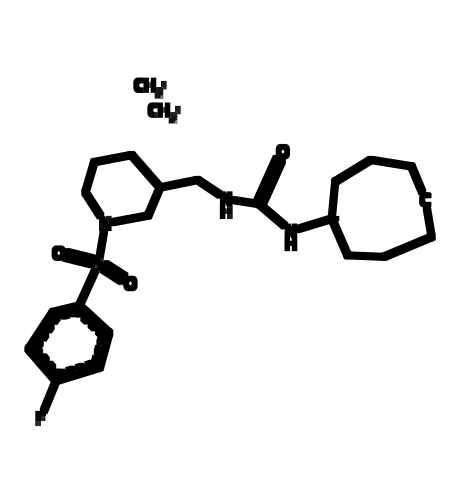 O=C(NCC1CCCN(S(=O)(=O)c2ccc(F)cc2)C1)N[C]1CCCCCCC1.[CH2].[CH2]